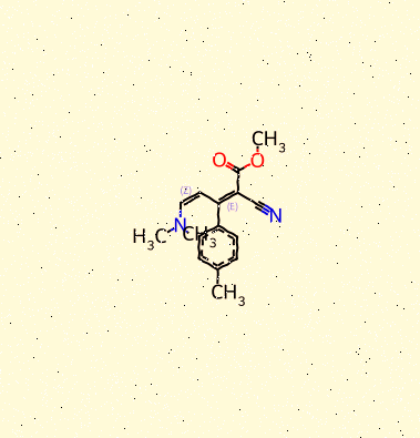 COC(=O)/C(C#N)=C(\C=C/N(C)C)c1ccc(C)cc1